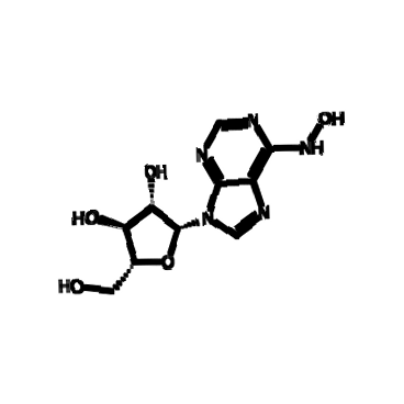 OC[C@H]1O[C@@H](n2cnc3c(NO)ncnc32)[C@@H](O)[C@@H]1O